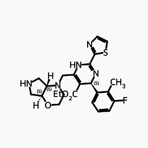 CCOC(=O)C1=C(CN2CCO[C@H]3CNC[C@@H]32)NC(c2nccs2)=N[C@H]1c1cccc(F)c1C